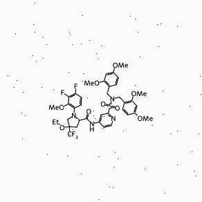 CCOC1(C(F)(F)F)CC(C(=O)Nc2ccnc(S(=O)(=O)N(Cc3ccc(OC)cc3OC)Cc3ccc(OC)cc3OC)c2)N(c2ccc(F)c(F)c2OC)C1